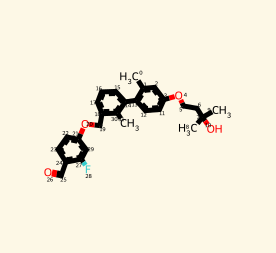 Cc1cc(OCCC(C)(C)O)ccc1-c1cccc(COc2ccc(C=O)c(F)c2)c1C